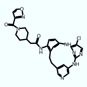 O=C(CC1CCN(C(=O)c2ccon2)CC1)Nc1ccc2cc1CCc1cncc(c1)Nc1ncc(Cl)c(n1)N2